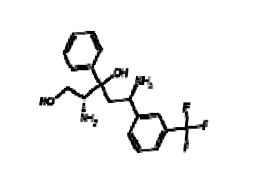 N[C@H](CC(O)(c1ccccc1)[C@H](N)CO)c1cccc(C(F)(F)F)c1